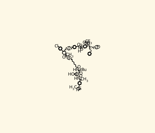 Cc1ncsc1-c1ccc([C@H](C)NC(=O)[C@@H]2C[C@@H](O)CN2C(=O)[C@@H](NC(=O)CCCCCCN2CCN(C(=O)C3(C)CCC(c4ccc(Cl)cc4)=C(CN4CCN(c5ccc(C(=O)NS(=O)(=O)c6ccc(N[C@H](CCN7CCOCC7)CSc7ccccc7)c(S(=O)(=O)C(F)(F)F)c6)cc5)CC4)C3)CC2)C(C)(C)C)cc1